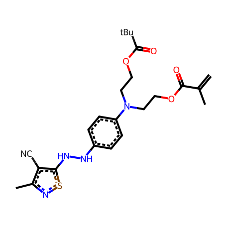 C=C(C)C(=O)OCCN(CCOC(=O)C(C)(C)C)c1ccc(NNc2snc(C)c2C#N)cc1